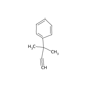 C#CC(C)(C)c1cc[c]cc1